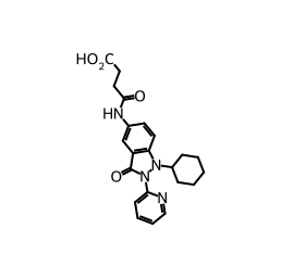 O=C(O)CCC(=O)Nc1ccc2c(c1)c(=O)n(-c1ccccn1)n2C1CCCCC1